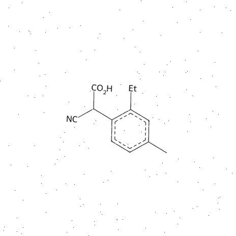 CCc1cc(C)ccc1C(C#N)C(=O)O